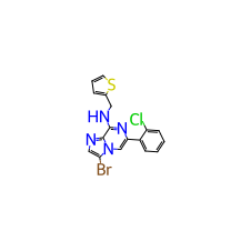 Clc1ccccc1-c1cn2c(Br)cnc2c(NCc2cccs2)n1